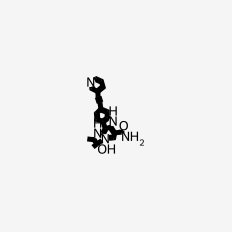 CC(Nc1ncc(C(N)=O)c2[nH]c3cc(C#Cc4cccnc4)ccc3c12)C(C)(C)O